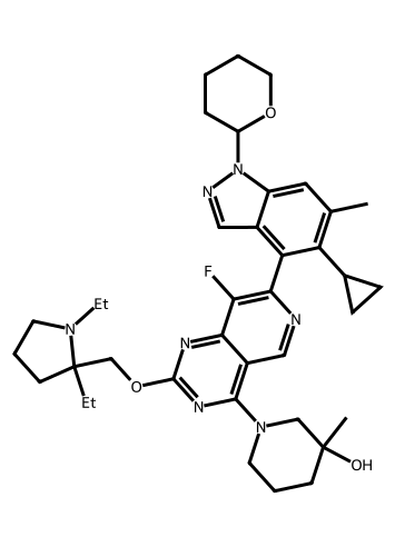 CCN1CCCC1(CC)COc1nc(N2CCCC(C)(O)C2)c2cnc(-c3c(C4CC4)c(C)cc4c3cnn4C3CCCCO3)c(F)c2n1